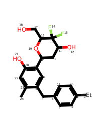 CCc1ccc(Cc2cc(C3CC(O)C(F)(F)C(CO)O3)c(O)cc2C)cc1